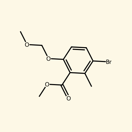 COCOc1ccc(Br)c(C)c1C(=O)OC